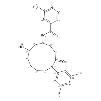 Cc1nccc(C(=O)NC2CCC(=O)N(c3cc(F)cc(F)c3)CCCCC(O)C2)n1